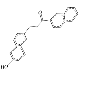 O=C(CCc1ccc2cc(O)ccc2c1)c1ccc2ccccc2c1